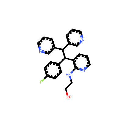 OCCNc1ncccc1C(c1ccc(F)cc1)C(c1cccnc1)c1cccnc1